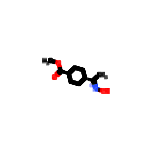 COC(=O)[C@H]1CC[C@H](/C(C)=N/O)CC1